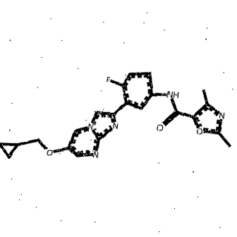 Cc1nc(C)c(C(=O)Nc2ccc(F)c(-c3cn4cc(OCC5CC5)cnc4n3)c2)o1